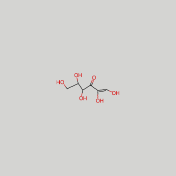 O=C(/C(O)=C/O)C(O)C(O)CO